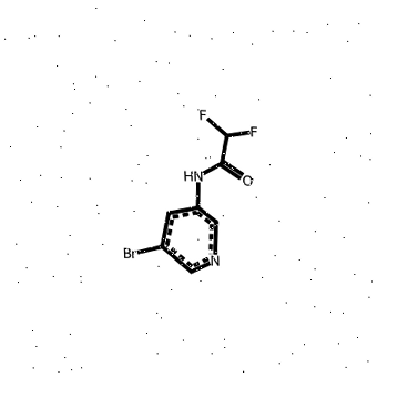 O=C(Nc1cncc(Br)c1)C(F)F